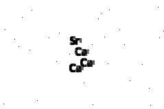 [Ca].[Ca].[Ca].[Sr]